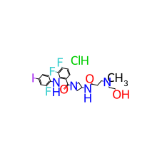 CN(CCO)CCC(=O)NC1CN(C(=O)c2ccc(F)c(F)c2Nc2ccc(I)cc2F)C1.Cl